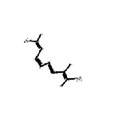 C/C(=C/C=C\C=C\C(C)=C(/C)[N+](=O)[O-])C(C)C